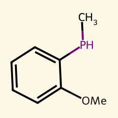 COc1ccccc1PC